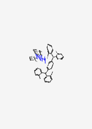 CCNCC.Cc1ccccc1C(c1ccc(C(c2ccccc2C)c2ccccc2C)cc1)c1ccccc1C